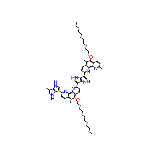 CCCCCCCCCCCCOc1c(C)c2ccc(-c3c[nH]c4c(-c5ccc6c(OCCCCCCCCCCCC)c(C)c7ccc(-c8c[nH]c9c(C)c[nH]c89)nc7c6n5)c[nH]c34)nc2c2nc(C)ccc12